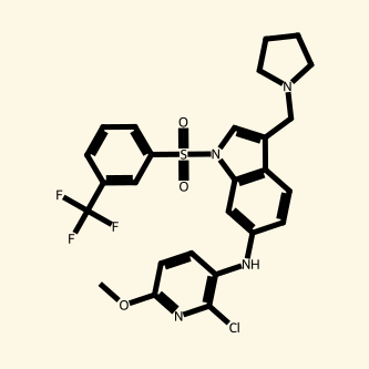 COc1ccc(Nc2ccc3c(CN4CCCC4)cn(S(=O)(=O)c4cccc(C(F)(F)F)c4)c3c2)c(Cl)n1